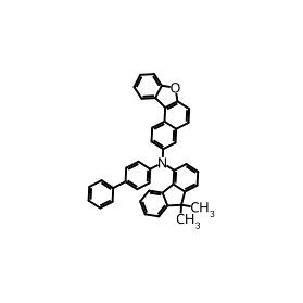 CC1(C)c2ccccc2-c2c(N(c3ccc(-c4ccccc4)cc3)c3ccc4c(ccc5oc6ccccc6c54)c3)cccc21